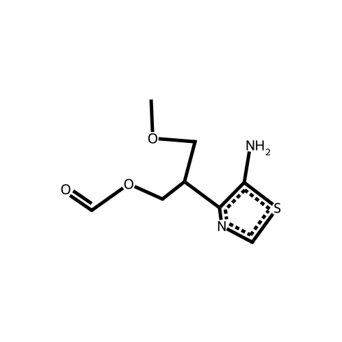 COCC(COC=O)c1ncsc1N